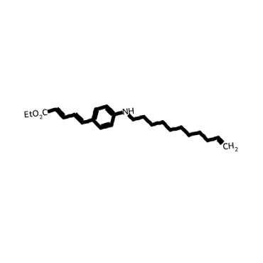 C=CCCCCCCCCCNc1ccc(/C=C/C=C/C(=O)OCC)cc1